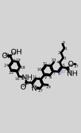 CCCCC/C(=C\c1cc(-c2cc(C(=O)NCc3ccc(C(=O)O)cc3)ncc2C)ccc1C)C(=N)OC